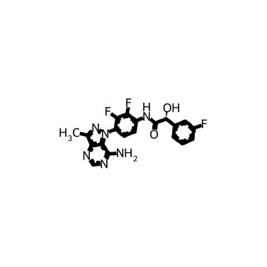 Cc1nn(-c2ccc(NC(=O)[C@H](O)c3cccc(F)c3)c(F)c2F)c2c(N)ncnc12